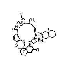 CO[C@]1(CN2CCN3CCCC[C@@H]3C2)/C=C/C[C@H](C)[C@@H](CC=O)S(=O)(=O)NC(=O)c2ccc3c(c2)N(C[C@@H]2CC[C@H]21)C[C@@]1(CCCC2C=C(Cl)C=CC21C)CO3